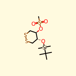 CC(C)(C)[Si](C)(C)O[C@@H]1CSSC[C@H]1OS(C)(=O)=O